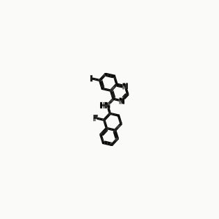 FC1c2ccccc2CCC1Nc1ncnc2ccc(I)cc12